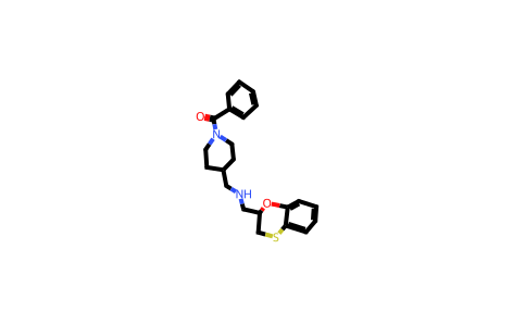 O=C(c1ccccc1)N1CCC(CNCC2CSc3ccccc3O2)CC1